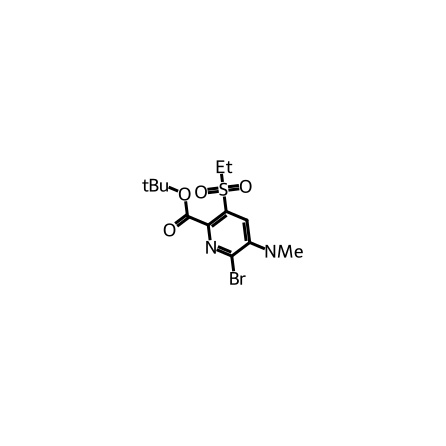 CCS(=O)(=O)c1cc(NC)c(Br)nc1C(=O)OC(C)(C)C